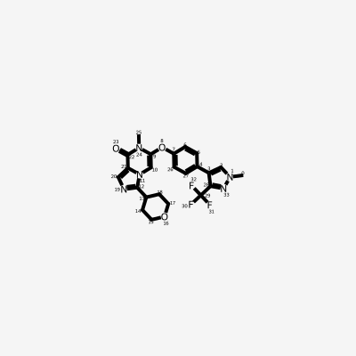 Cn1cc(-c2ccc(Oc3cn4c(C5CCOCC5)ncc4c(=O)n3C)cc2)c(C(F)(F)F)n1